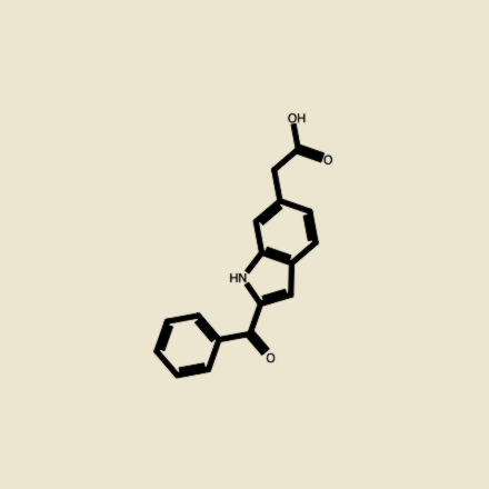 O=C(O)Cc1ccc2cc(C(=O)c3ccccc3)[nH]c2c1